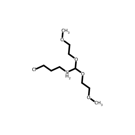 COCCOC(OCCOC)[SiH2]CCCCl